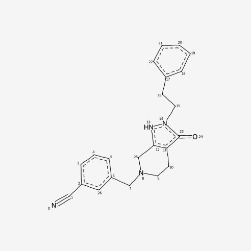 N#Cc1cccc(CN2CCc3c([nH]n(CCc4ccccc4)c3=O)C2)c1